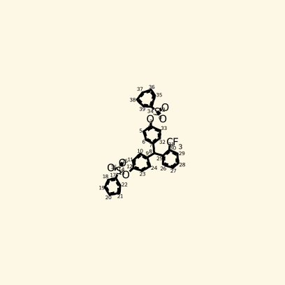 O=S(=O)(Oc1ccc(C(c2ccc(OS(=O)(=O)c3ccccc3)cc2)c2ccccc2C(F)(F)F)cc1)c1ccccc1